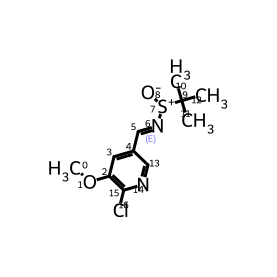 COc1cc(/C=N/[S+]([O-])C(C)(C)C)cnc1Cl